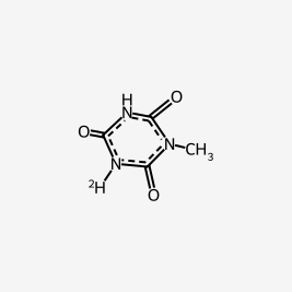 [2H]n1c(=O)[nH]c(=O)n(C)c1=O